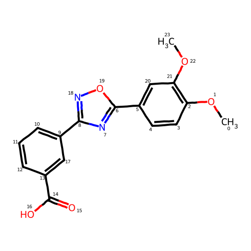 COc1ccc(-c2nc(-c3cccc(C(=O)O)c3)no2)cc1OC